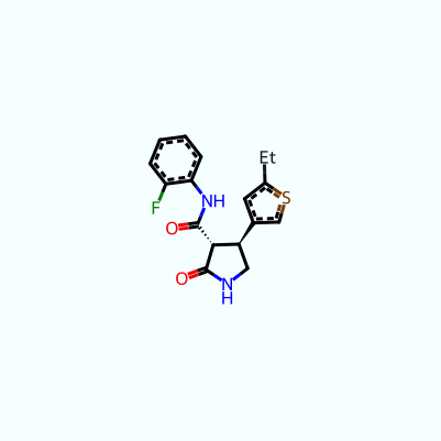 CCc1cc([C@H]2CNC(=O)[C@@H]2C(=O)Nc2ccccc2F)cs1